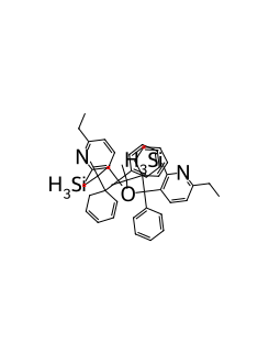 CCc1ccc(C(OC(c2ccccc2)(c2ccc(CC)nc2[SiH3])C2(C(C)(C)C)C=CC=CC2)(c2ccccc2)C2(C(C)(C)C)C=CC=CC2)c([SiH3])n1